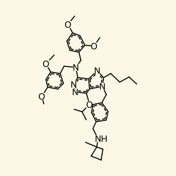 CCCCc1nc2c(N(Cc3ccc(OC)cc3OC)Cc3ccc(OC)cc3OC)nnc(OC(C)C)c2n1Cc1ccc(CNC2(C)CCC2)cc1